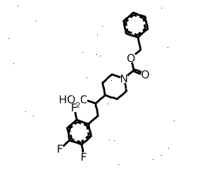 O=C(O)C(Cc1cc(F)c(F)cc1F)C1CCN(C(=O)OCc2ccccc2)CC1